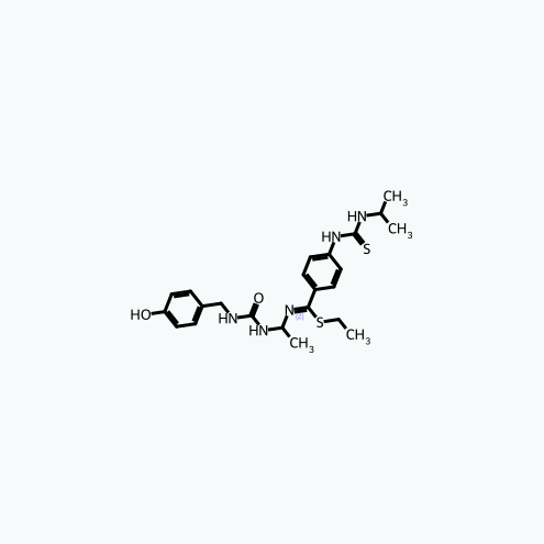 CCS/C(=N\C(C)NC(=O)NCc1ccc(O)cc1)c1ccc(NC(=S)NC(C)C)cc1